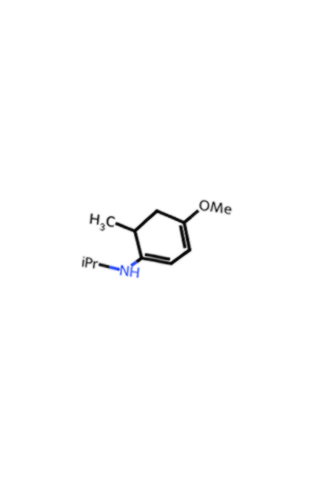 COC1=CC=C(NC(C)C)C(C)C1